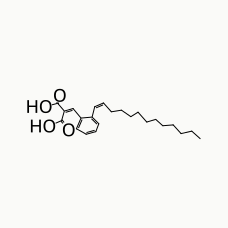 CCCCCCCCCCC/C=C\c1ccccc1C=C(C(=O)O)C(=O)O